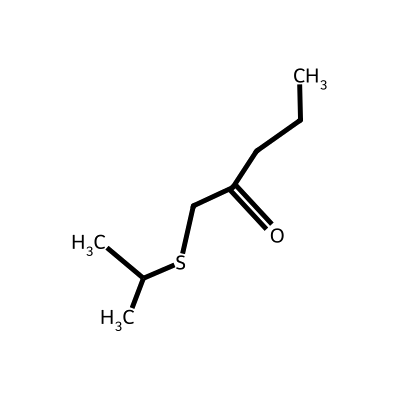 CCCC(=O)CSC(C)C